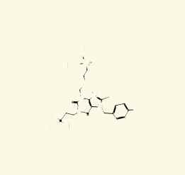 [2H]C([2H])(O)CCn1c(=O)c2c(nc(Cl)n2Cc2ccc(Cl)cc2)n(COCC[Si](C)(C)C)c1=O